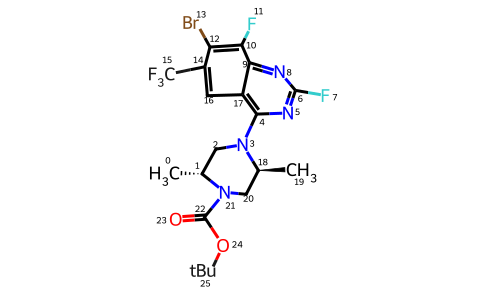 C[C@@H]1CN(c2nc(F)nc3c(F)c(Br)c(C(F)(F)F)cc23)[C@@H](C)CN1C(=O)OC(C)(C)C